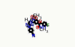 CNC(=O)c1c(-c2ccc(F)cc2)oc2cc(N(C)S(C)(=O)=O)c(-c3ncc4ncn(-c5ccc(C#N)cc5)c4n3)cc12